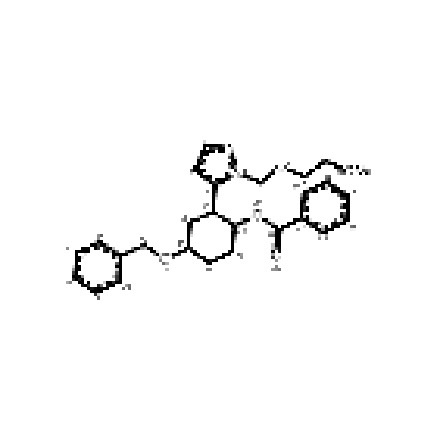 COCCOCn1nccc1C1CC(OCc2ccccc2)CCC1OC(=O)c1ccccc1